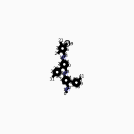 C/C=C/c1ccc(/C=C/c2ccc(/C=C/c3cc(OC)c(C)cc3C)cc2-c2ccc(C)cc2)cc1-c1cccc(C)c1